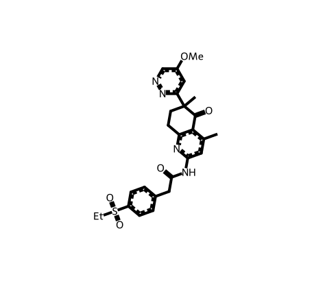 CCS(=O)(=O)c1ccc(CC(=O)Nc2cc(C)c3c(n2)CCC(C)(c2cc(OC)cnn2)C3=O)cc1